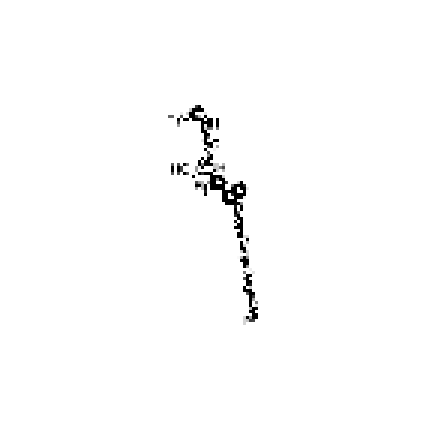 C=C(/C=C\C(=C/C)c1ccc(OCCOCCOCCOCCOCCOCCOCCC(C)C)c2ccccc12)[C@H](CC(=O)O)NC(=O)CNC(=O)CCCNc1cc(C)ccn1